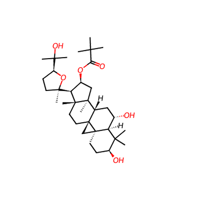 CC(C)(C)C(=O)O[C@H]1C[C@@]2(C)[C@@H]3C[C@H](O)[C@H]4C(C)(C)[C@@H](O)CC[C@@]45C[C@@]35CC[C@]2(C)[C@H]1[C@@]1(C)CC[C@@H](C(C)(C)O)O1